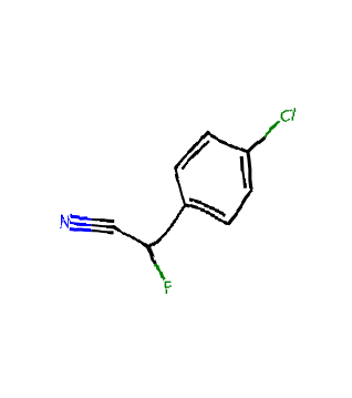 N#CC(F)c1ccc(Cl)cc1